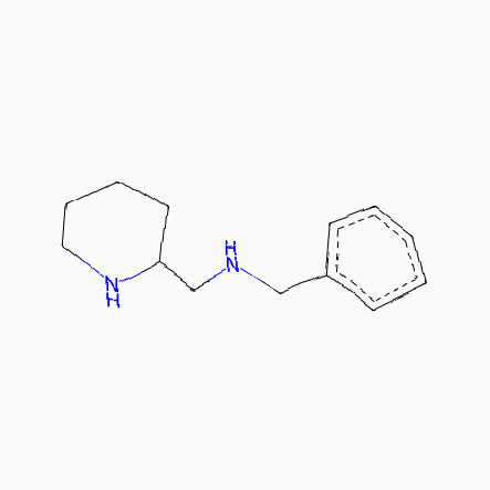 c1ccc(CNCC2CCCCN2)cc1